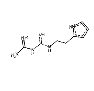 N=C(N)NC(=N)NCCc1ccc[nH]1